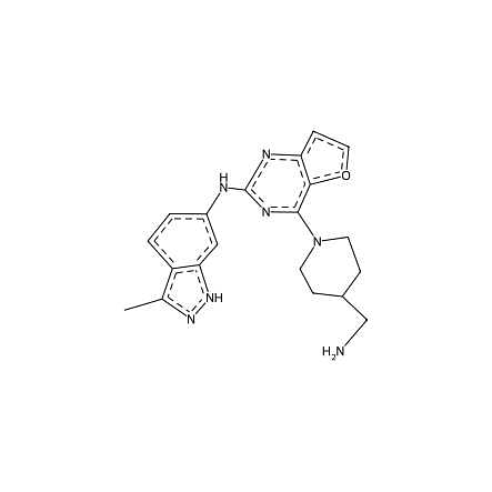 Cc1n[nH]c2cc(Nc3nc(N4CCC(CN)CC4)c4occc4n3)ccc12